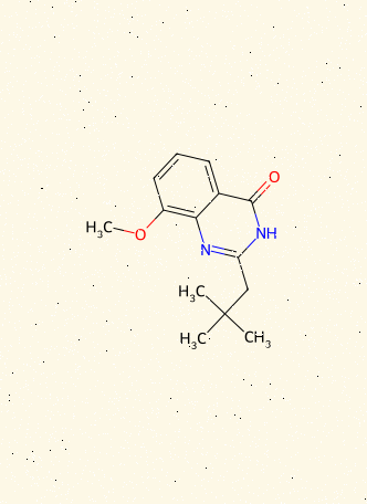 COc1cccc2c(=O)[nH]c(CC(C)(C)C)nc12